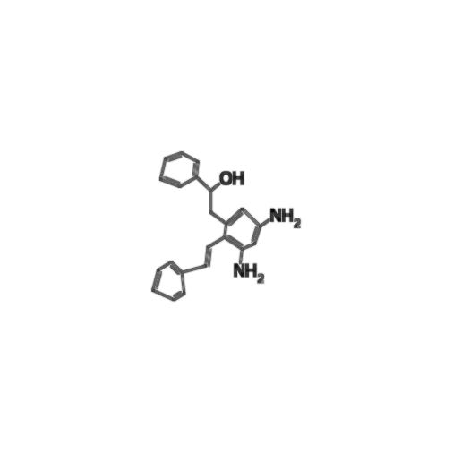 Nc1cc(N)c(C=Cc2ccccc2)c(CC(O)c2ccccc2)c1